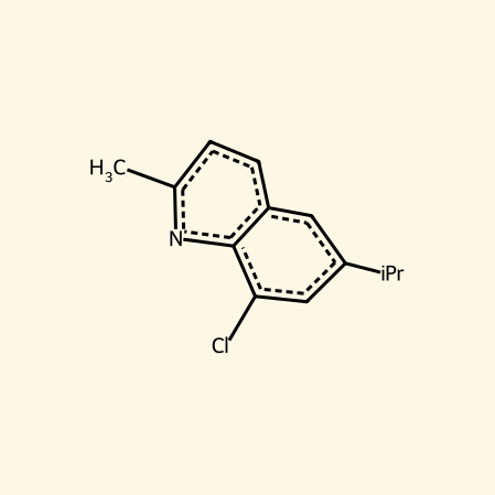 Cc1ccc2cc(C(C)C)cc(Cl)c2n1